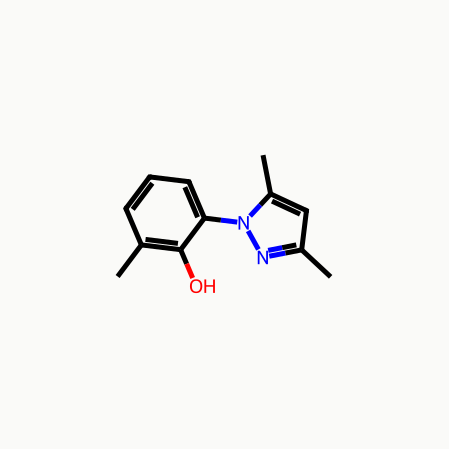 Cc1cc(C)n(-c2cccc(C)c2O)n1